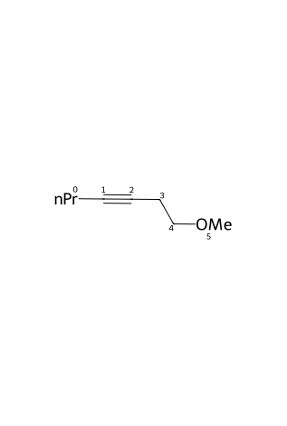 [CH2]CCC#CCCOC